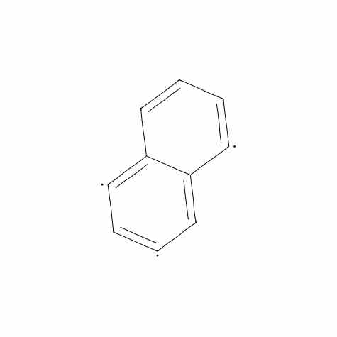 [c]1c[c]c2ccc[c]c2c1